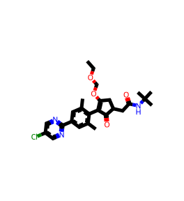 CCOCOC1=C(c2c(C)cc(-c3ncc(Cl)cn3)cc2C)C(=O)C(CC(=O)NC(C)(C)C)C1